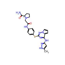 Cc1cc(Nc2nc(Sc3ccc(NC(=O)CN4CCC[C@@H]4C(N)=O)cc3)nn3cccc23)n[nH]1